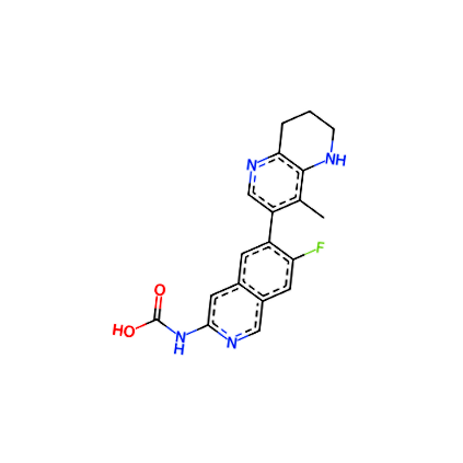 Cc1c(-c2cc3cc(NC(=O)O)ncc3cc2F)cnc2c1NCCC2